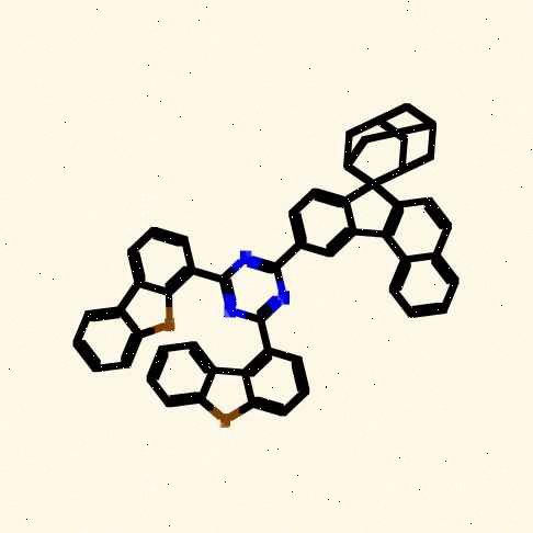 c1ccc2c3c(ccc2c1)C1(c2ccc(-c4nc(-c5cccc6c5sc5ccccc56)nc(-c5cccc6sc7ccccc7c56)n4)cc2-3)C2CC3CC(C2)CC1C3